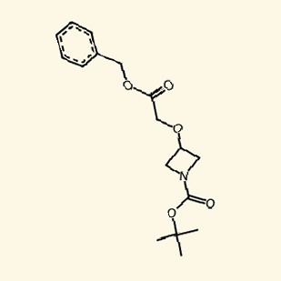 CC(C)(C)OC(=O)N1CC(OCC(=O)OCc2ccccc2)C1